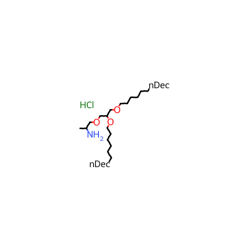 CCCCCCCCCCCCCCCCOCC(COCC(C)N)OCCCCCCCCCCCCCCCC.Cl